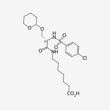 O=C(O)CCCCCCNC(=O)[C@H](COC1CCCCO1)NS(=O)(=O)c1ccc(Cl)cc1